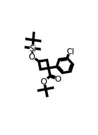 CC(C)(C)OC(=O)C1(c2cccc(Cl)c2)CC(O[Si](C)(C)C(C)(C)C)C1